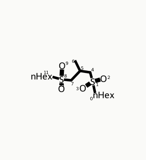 CCCCCCS(=O)(=O)CC(C)CS(=O)(=O)CCCCCC